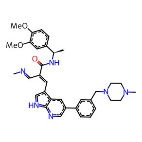 CN=C/C(=C\c1c[nH]c2ncc(-c3cccc(CN4CCN(C)CC4)c3)cc12)C(=O)N[C@H](C)c1ccc(OC)c(OC)c1